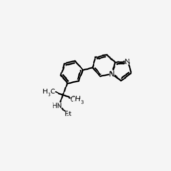 CCNC(C)(C)c1cccc(-c2ccc3nccn3c2)c1